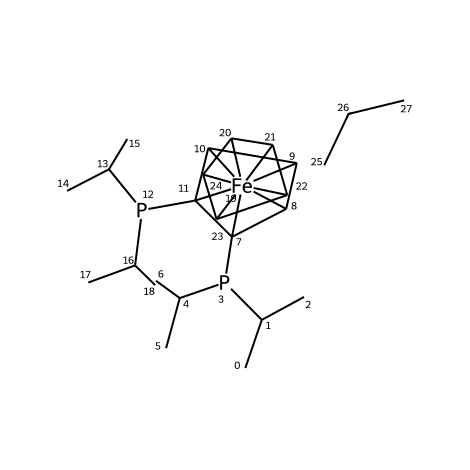 CC(C)P(C(C)C)[C]12[CH]3[CH]4[CH]5[C]1(P(C(C)C)C(C)C)[Fe]43521678[CH]2[CH]1[CH]6[CH]7[CH]28.CCC